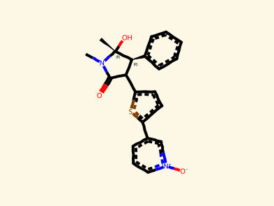 CN1C(=O)C(c2ccc(-c3ccc[n+]([O-])c3)s2)[C@H](c2ccccc2)[C@@]1(C)O